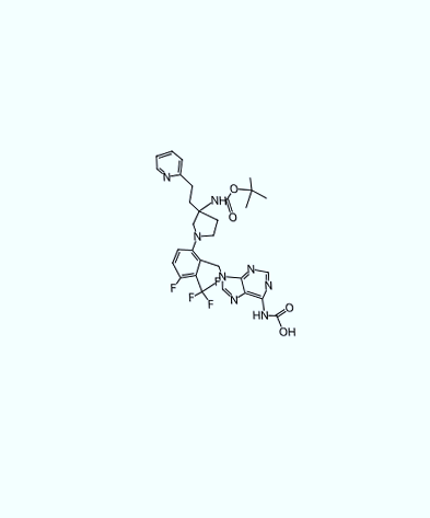 CC(C)(C)OC(=O)NC1(CCc2ccccn2)CCN(c2ccc(F)c(C(F)(F)F)c2Cn2cnc3c(NC(=O)O)ncnc32)C1